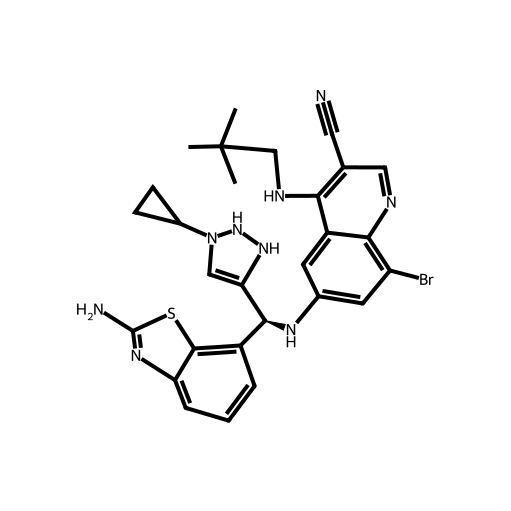 CC(C)(C)CNc1c(C#N)cnc2c(Br)cc(N[C@H](C3=CN(C4CC4)NN3)c3cccc4nc(N)sc34)cc12